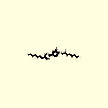 CCCCCCCc1cnc(-c2ccc(OC[C@@H](F)CCCCCC)c(F)c2)nc1